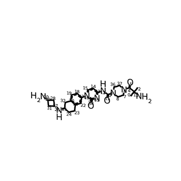 CC(C)(N)C(=O)N1CCN(C(=O)Nc2ccn(-c3ccc4c(c3)CCC(N[C@H]3C[C@H](N)C3)C4)c(=O)n2)CC1